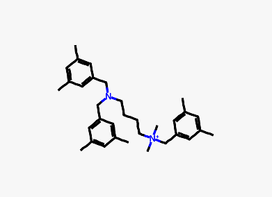 Cc1cc(C)cc(CN(CCCC[N+](C)(C)Cc2cc(C)cc(C)c2)Cc2cc(C)cc(C)c2)c1